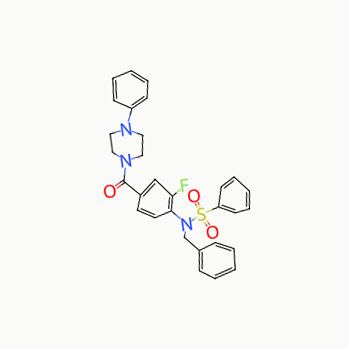 O=C(c1ccc(N(Cc2ccccc2)S(=O)(=O)c2ccccc2)c(F)c1)N1CCN(c2ccccc2)CC1